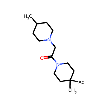 CC(=O)C1(C)CCN(C(=O)CN2CCC(C)CC2)CC1